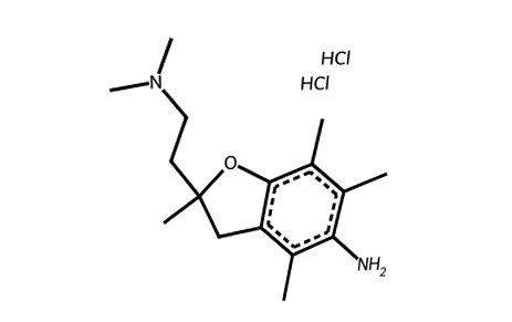 Cc1c(C)c2c(c(C)c1N)CC(C)(CCN(C)C)O2.Cl.Cl